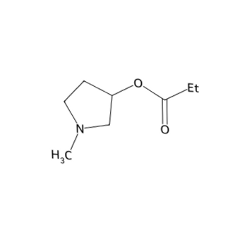 CCC(=O)OC1CCN(C)C1